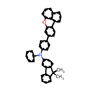 CC1(C)c2ccccc2-c2cc(N(c3ccccc3)c3ccc(-c4ccc5c(c4)Oc4cccc6cccc-5c46)cc3)ccc21